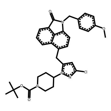 COc1ccc(CN2C(=O)c3cccc4c(Cc5cc(Cl)nn5C5CCN(C(=O)OC(C)(C)C)CC5)ccc2c34)cc1